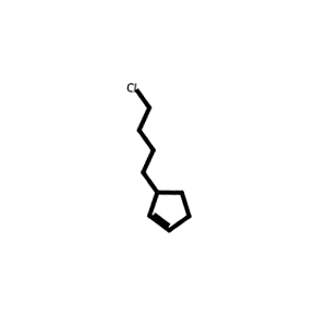 ClCCCCC1C=CCC1